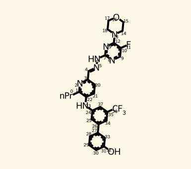 CCCc1nc(/C=N/Nc2ncc(F)c(N3CCOCC3)n2)ccc1Nc1cc(-c2cccc(O)c2)cc(C(F)(F)F)c1